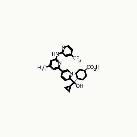 Cc1cc(Nc2cc(C(F)(F)F)ccn2)nc(-c2ccc(C(O)(C3CC3)[C@H]3CC[C@H](C(=O)O)CC3)nc2)c1